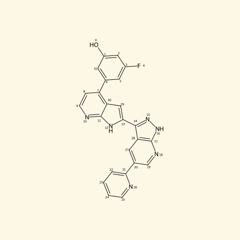 Oc1cc(F)cc(-c2ccnc3[nH]c(-c4n[nH]c5ncc(-c6ccccn6)cc45)cc23)c1